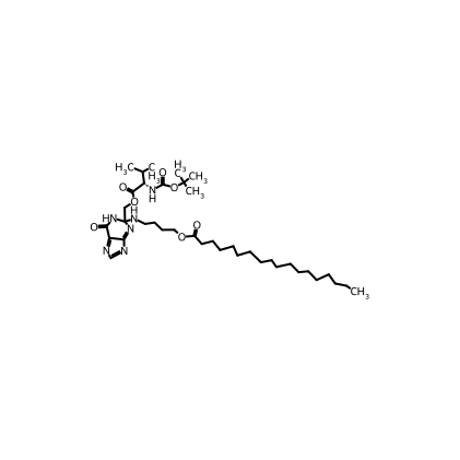 CCCCCCCCCCCCCCCCCC(=O)OCCCCNC1(COC(=O)[C@@H](NC(=O)OC(C)(C)C)C(C)C)N=C2N=CN=C2C(=O)N1